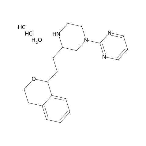 Cl.Cl.O.c1cnc(N2CCNC(CCC3OCCc4ccccc43)C2)nc1